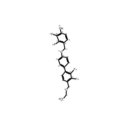 CCOCc1ccc(-c2ccc(OCc3ccc(O)c(F)c3F)cc2)c(F)c1F